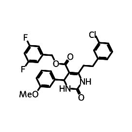 COc1cccc(C2NC(=O)NC(CCc3cccc(Cl)c3)=C2C(=O)OCc2cc(F)cc(F)c2)c1